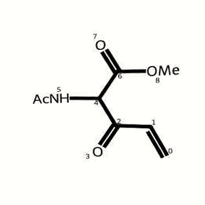 C=CC(=O)C(NC(C)=O)C(=O)OC